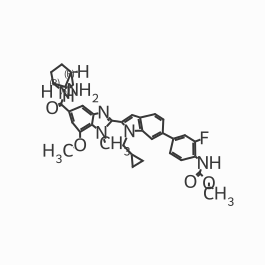 COC(=O)Nc1ccc(-c2ccc3cc(-c4nc5cc(C(=O)N6C[C@H]7CC[C@@H]6[C@@H]7N)cc(OC)c5n4C)n(CC4CC4)c3c2)cc1F